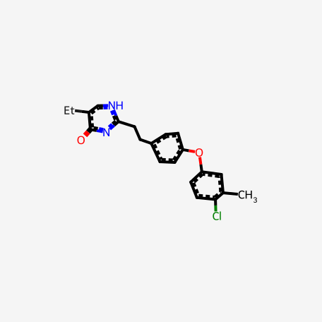 CCc1c[nH]c(CCc2ccc(Oc3ccc(Cl)c(C)c3)cc2)nc1=O